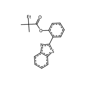 CCC(C)(C)C(=O)Oc1ccccc1-c1nc2ccccc2s1